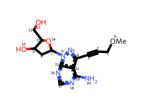 COCC#Cc1nn(C2CC(O)C(CO)O2)c2ncnc(N)c12